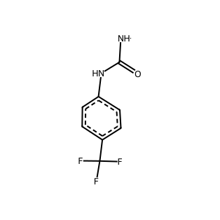 [NH]C(=O)Nc1ccc(C(F)(F)F)cc1